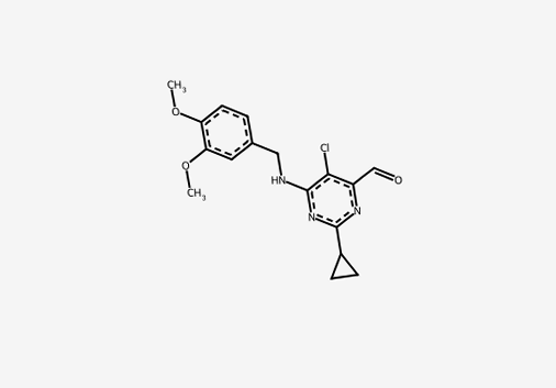 COc1ccc(CNc2nc(C3CC3)nc(C=O)c2Cl)cc1OC